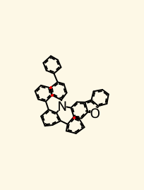 c1ccc(-c2ccc(N(c3ccc4oc5ccccc5c4c3)c3c(-c4ccccc4)cccc3-c3ccccc3)cc2)cc1